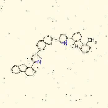 Cc1ccccc1-c1cccc(-c2ccc(-c3ccc4ccc(-c5ccc(C6=CCCC7=C6Cc6ccccc67)nc5)cc4c3)cn2)c1C